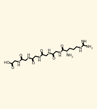 N=C(N)NCCC[C@H](N)C(=O)NCC(=O)NCC(=O)NCC(=O)NCC(=O)NCC(=O)O